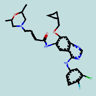 CC1CN(C/C=C/C(=O)Nc2cc3c(Nc4ccc(F)c(Cl)c4)ncnc3cc2OCC2CC2)CC(C)O1